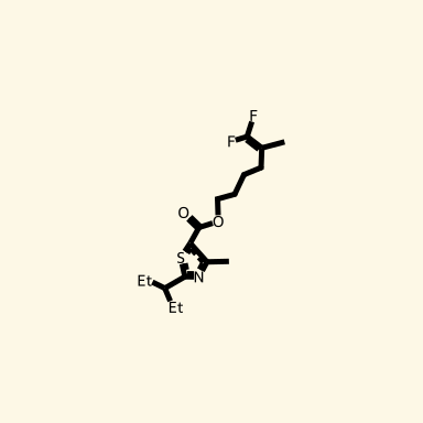 CCC(CC)c1nc(C)c(C(=O)OCCCCC(C)=C(F)F)s1